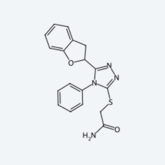 NC(=O)CSc1nnc(C2Cc3ccccc3O2)n1-c1ccccc1